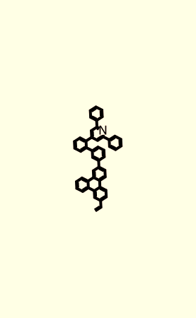 C=Cc1ccc2c3ccc(-c4cccc(-c5ccccc5-c5cc(-c6ccccc6)nc(-c6ccccc6)c5)c4)cc3c3ccccc3c2c1